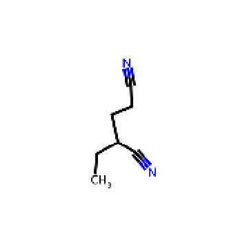 CCC(C#N)CCC#N